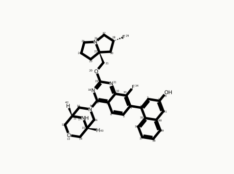 Oc1cc(-c2ccc3c(N4C[C@H]5COC[C@@H](C4)N5)nc(OC[C@@]45CCCN4C[C@H](F)C5)nc3c2F)c2ccccc2c1